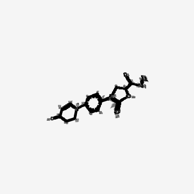 CCNC(=O)C1CN(c2ccc(N3C=CC(=O)CC3)cc2)C(=O)O1